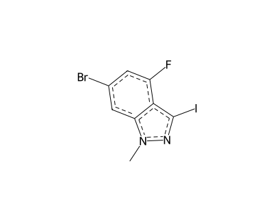 Cn1nc(I)c2c(F)cc(Br)cc21